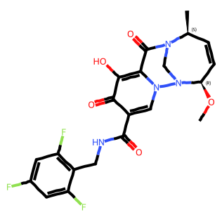 CO[C@@H]1C=C[C@H](C)N2CN1n1cc(C(=O)NCc3c(F)cc(F)cc3F)c(=O)c(O)c1C2=O